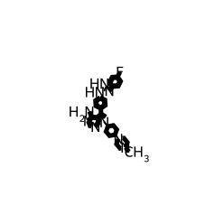 CN1CCN([C@H]2CC[C@H](n3cc(-c4ccc(Nc5nc6ccc(F)cc6[nH]5)cc4)c4c(N)ncnc43)CC2)CC1